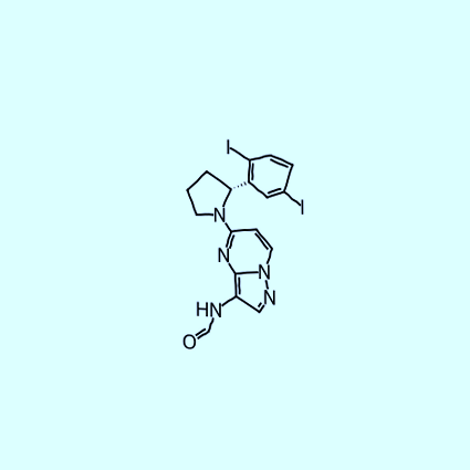 O=CNc1cnn2ccc(N3CCC[C@@H]3c3cc(I)ccc3I)nc12